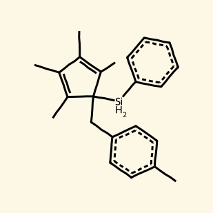 CC1=C(C)C(Cc2ccc(C)cc2)([SiH2]c2ccccc2)C(C)=C1C